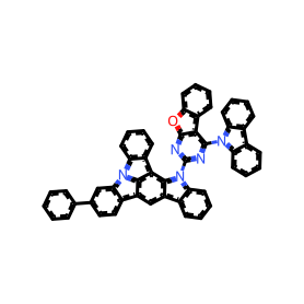 c1ccc(-c2ccc3c4cc5c6ccccc6n(-c6nc(-n7c8ccccc8c8ccccc87)c7c(n6)oc6ccccc67)c5c5c6ccccc6n(c3c2)c45)cc1